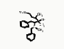 COCCC(C)C(C)(O)C(Cc1ccccc1)N(C)Cc1ccccc1